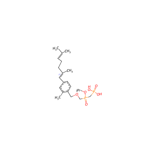 CC(C)=CCC/C(C)=C/c1ccc(COCP(=O)(CP(=O)(O)O)OC(C)C)c(C)c1